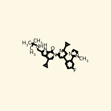 Cn1ccnc1-c1cc(F)ccc1-c1cc(C2CC2)nc(-n2cc(C3CC3)c3cc(CNC(C)(C)C)[nH]c3c2=O)c1